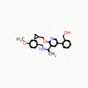 C=C(NCc1ccc(OC)cc1)c1cc(-c2ccccc2CO)cnc1OCC1CC1